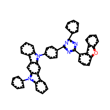 c1ccc(-c2nc(-c3ccc(-n4c5ccccc5c5cc6c(cc54)c4ccccc4n6-c4ccccc4)cc3)nc(-c3cccc4oc5ccccc5c34)n2)cc1